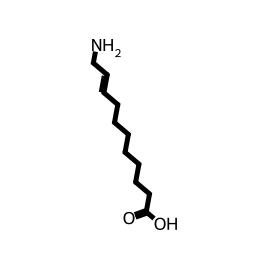 NCC=CCCCCCCCC(=O)O